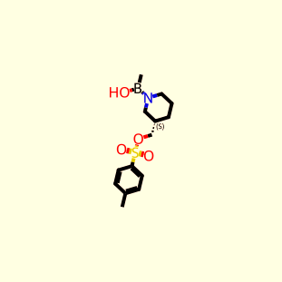 CB(O)N1CCC[C@H](COS(=O)(=O)c2ccc(C)cc2)C1